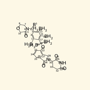 Bc1cc(C(B)N2CCOCC2=O)c(B)c(B)c1C(B)(B)Oc1cccc2c1CN(C1CCC(=O)NC1=O)C2=O